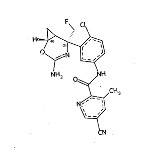 Cc1cc(C#N)cnc1C(=O)Nc1ccc(Cl)c([C@@]2(CF)N=C(N)O[C@@H]3CC32)c1